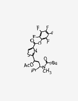 CCCCC(=O)N(C)C(CC(OC(C)=O)c1nc(C(=O)Oc2c(F)c(F)c(F)c(F)c2F)cs1)C(C)C